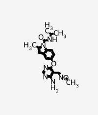 CO/N=C/c1c(N)ncnc1Oc1ccc2c(c1)cc(C)n2C(=O)NC(C)C